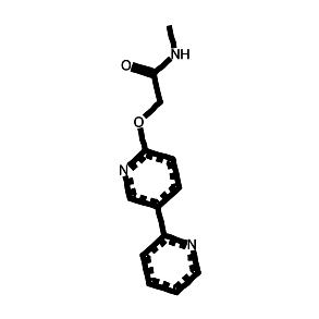 CNC(=O)COc1ccc(-c2ccccn2)cn1